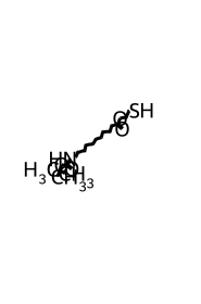 CC(C)(C)OC(=O)NCCCCCCCCCCC(=O)OCCS